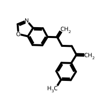 C=C(CCC(=C)c1ccc2ocnc2c1)c1ccc(C)cc1